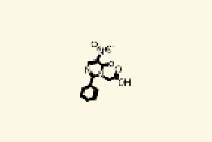 O=C(O)Cn1c(-c2ccccc2)ncc([N+](=O)[O-])c1=O